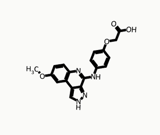 COc1ccc2nc(Nc3ccc(OCC(=O)O)cc3)c3n[nH]cc3c2c1